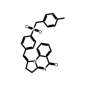 Cc1ccc(CS(=O)(=O)c2ccc(/C=C3/CCc4nc(=O)c5ccccc5n43)cc2)cc1